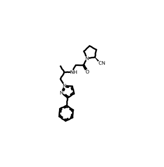 CC(Cn1ccc(-c2ccccc2)n1)NCC(=O)N1CCC[C@H]1C#N